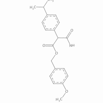 COc1ccc(COC(=O)C(C([NH])=O)c2ccc(C(C)C)cc2)cc1